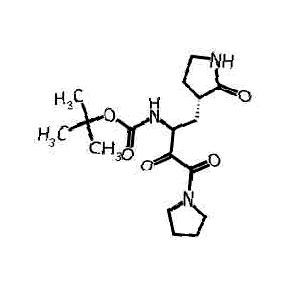 CC(C)(C)OC(=O)NC(C[C@@H]1CCNC1=O)C(=O)C(=O)N1CCCC1